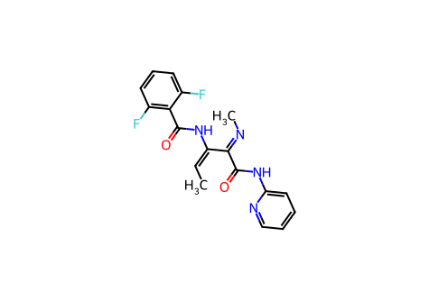 C/C=C(NC(=O)c1c(F)cccc1F)\C(=N/C)C(=O)Nc1ccccn1